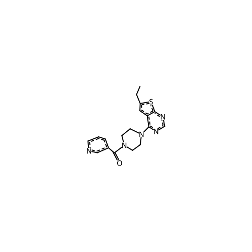 CCc1cc2c(N3CCN(C(=O)c4cccnc4)CC3)ncnc2s1